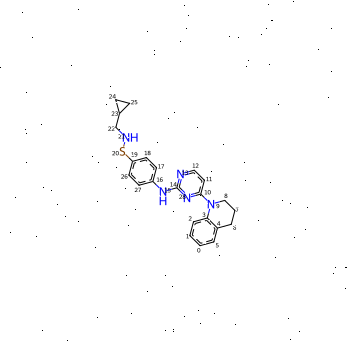 c1ccc2c(c1)CCCN2c1ccnc(Nc2ccc(SNCC3CC3)cc2)n1